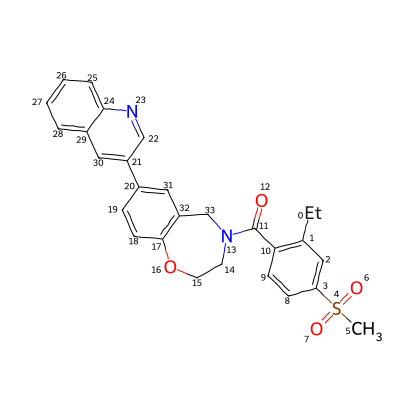 CCc1cc(S(C)(=O)=O)ccc1C(=O)N1CCOc2ccc(-c3cnc4ccccc4c3)cc2C1